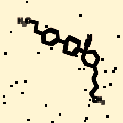 CCCCCC1CCC(C#N)(c2ccc(-c3ccc(CCC)cc3)cc2)CC1